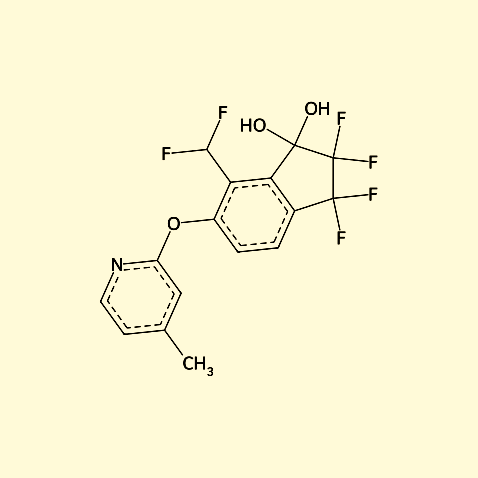 Cc1ccnc(Oc2ccc3c(c2C(F)F)C(O)(O)C(F)(F)C3(F)F)c1